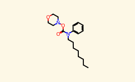 CCCCCCCCN(C(=O)ON1CCOCC1)c1ccccc1